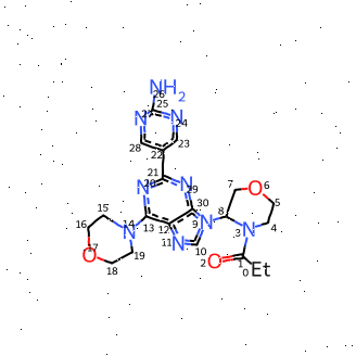 CCC(=O)N1CCOCC1n1cnc2c(N3CCOCC3)nc(-c3cnc(N)nc3)nc21